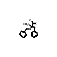 CC(C)C(=O)C(Cc1ccccc1)(OCc1ccccc1)C(=O)O